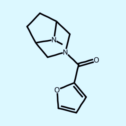 CN1C2CCC1CN(C(=O)c1ccco1)C2